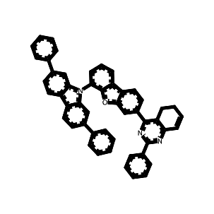 C1=Cc2nc(-c3ccccc3)nc(-c3ccc4c(c3)oc3c(-n5c6cc(-c7ccccc7)ccc6c6ccc(-c7ccccc7)cc65)cccc34)c2CC1